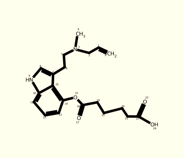 C=CCN(C)CCc1c[nH]c2cccc(OC(=O)CCCCC(=O)O)c12